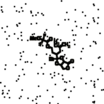 C=C(C)CC(CCOC(=O)C(F)(F)OC)C1(CC)OC2COC(=O)C2O1